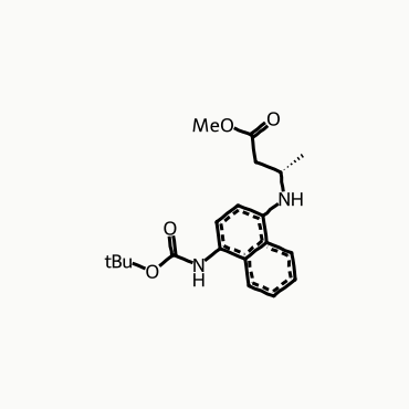 COC(=O)C[C@H](C)Nc1ccc(NC(=O)OC(C)(C)C)c2ccccc12